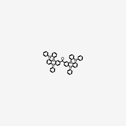 O=C(c1ccc2c(c1)B1c3ccccc3N(c3ccccc3)c3cccc(c31)N2c1ccccc1)c1ccc2c(c1)B1c3ccccc3N(c3ccccc3)c3cccc(c31)N2c1ccccc1